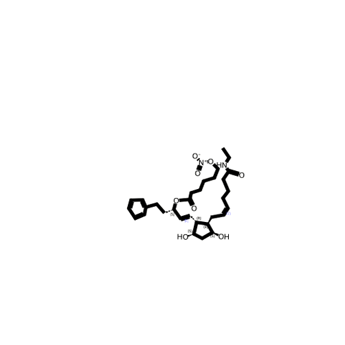 CCNC(=O)CCC/C=C\C[C@@H]1[C@@H](/C=C/[C@H](CCc2ccccc2)OC(=O)CCCCCO[N+](=O)[O-])[C@@H](O)C[C@@H]1O